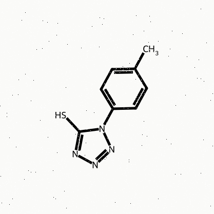 Cc1ccc(-n2nnnc2S)cc1